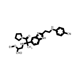 CCOC(C=O)CNC(C)(C(=O)N1CCCC1)c1ccc2[nH]c(CCNc3ccc(C#N)cc3)nc2c1